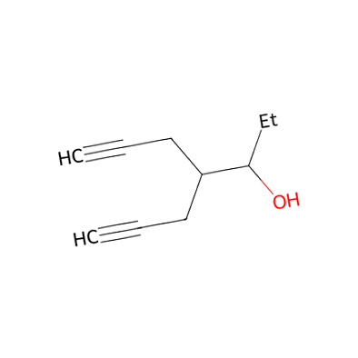 C#CCC(CC#C)C(O)CC